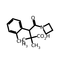 Cc1ccccc1C(C(=O)N1CCC1)C(C)(C)C(=O)O